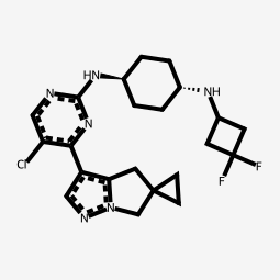 FC1(F)CC(N[C@H]2CC[C@H](Nc3ncc(Cl)c(-c4cnn5c4CC4(CC4)C5)n3)CC2)C1